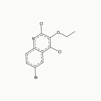 CCOc1c(Cl)nc2ccc(Br)cc2c1Cl